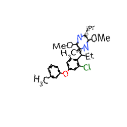 CCC(c1ccc(Oc2cccc(C)c2)cc1Cl)[C@@]1(C)N=C(OC)[C@H](C(C)C)N=C1OC